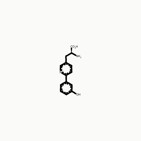 N[C@@H](Cc1ccc(-c2cccc(O)c2)nc1)C(=O)O